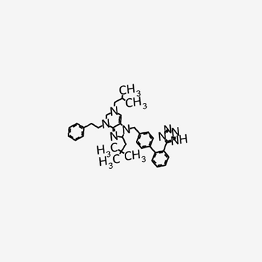 CC(C)CN1C=C2C(=NC(CC(C)(C)C)N2Cc2ccc(-c3ccccc3-c3nnn[nH]3)cc2)N(CCc2ccccc2)C1